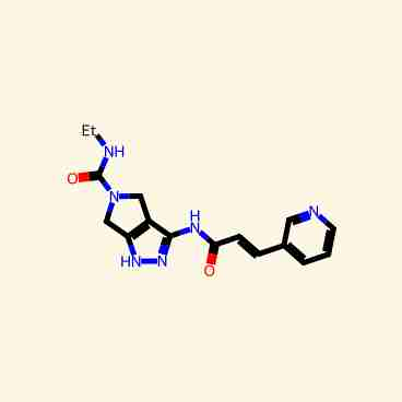 CCNC(=O)N1Cc2[nH]nc(NC(=O)C=Cc3cccnc3)c2C1